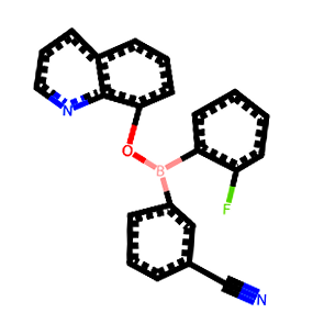 N#Cc1cccc(B(Oc2cccc3cccnc23)c2ccccc2F)c1